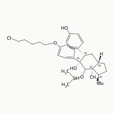 C[SiH](C)OC1[C@@]2(C)[C@@H](CC[C@H]2C(C)(C)C)C[C@@H](c2ccc(O)cc2)[C@]1(O)c1ccc(OCCCCCCl)cc1